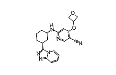 N#Cc1cnc(N[C@@H]2CCC[C@H](c3nnc4ccccn34)C2)cc1OC1COC1